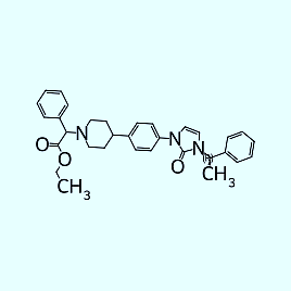 CCOC(=O)C(c1ccccc1)N1CCC(c2ccc(-n3ccn([C@H](C)c4ccccc4)c3=O)cc2)CC1